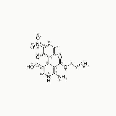 C=CCOC(=O)C1=C(N)NC=C(C(=O)O)C1c1cccc([N+](=O)[O-])c1